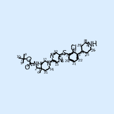 CC1(CNC(=O)OC(C)(C)C)CCN(c2cnc(Sc3cccc(C4CCNCC4)c3Cl)cn2)CC1